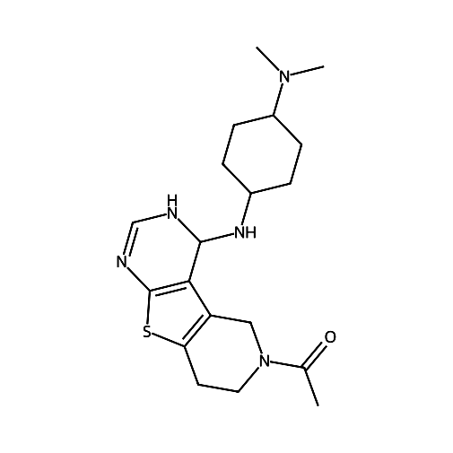 CC(=O)N1CCc2sc3c(c2C1)C(NC1CCC(N(C)C)CC1)NC=N3